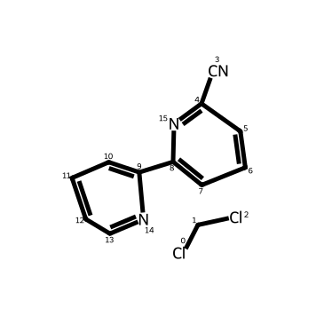 ClCCl.N#Cc1cccc(-c2ccccn2)n1